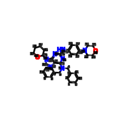 c1ccc(CN(Cc2ccccc2)c2nc(Nc3ccc(N4CCOCC4)cc3)nc3c2ncn3C2CCCCO2)cc1